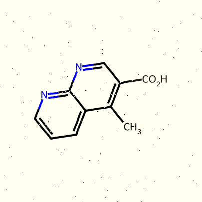 Cc1c(C(=O)O)cnc2ncccc12